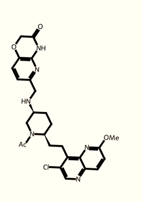 COc1ccc2ncc(Cl)c(CC[C@@H]3CC[C@H](NCc4ccc5c(n4)NC(=O)CO5)CN3C(C)=O)c2n1